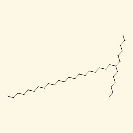 [CH2]CCCCCC(CCCCCC)CCCCCCCCCCCCCCCCCCCCC